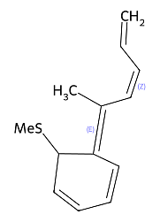 C=C/C=C\C(C)=C1/C=CC=CC1SC